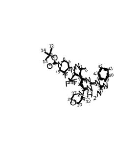 Cc1nn(C2CCN(C(=O)OC(C)(C)C)CC2)c(C(F)(F)F)c1-c1cc(N2CCOC[C@H]2C)nc(-n2c(N)nc3ccccc32)n1